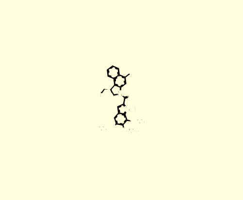 COc1cc2cc(C(=O)N3C[C@@H](CCl)c4c3cc(C)c3ccccc43)[nH]c2c(OC)c1OC